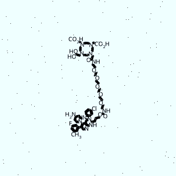 Cc1cc(F)cc(-c2cnc(NCCCCOC(=O)NCCOCCOCCOCCOCCOCCNC(=O)CN3CCN(CC(=O)O)CCN(CC(=O)O)CCN(CC(O)O)CC3)c(-c3nc4cc(Cl)ccc4[nH]3)c2N2CCC(N)CC2)c1